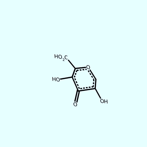 O=C(O)c1occ(O)c(=O)c1O